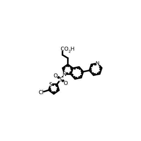 O=C(O)CCc1cn(S(=O)(=O)c2ccc(Cl)s2)c2ccc(-c3cccnc3)cc12